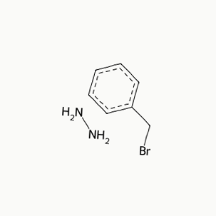 BrCc1ccccc1.NN